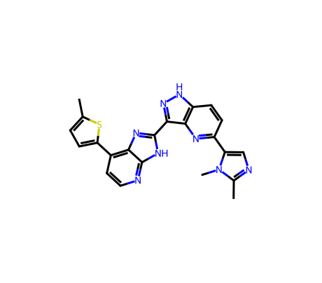 Cc1ccc(-c2ccnc3[nH]c(-c4n[nH]c5ccc(-c6cnc(C)n6C)nc45)nc23)s1